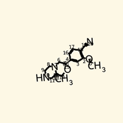 COc1cc([C@@H]2CN3CCNC[C@]3(C)CO2)ccc1C#N